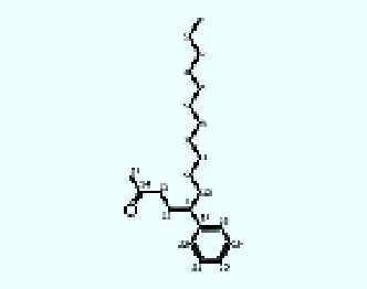 CCCCCCCCCCCC(CCC(C)=O)c1ccccc1